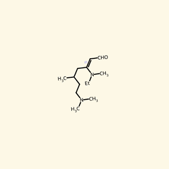 CCN(C)/C(=C\C=O)CC(C)CCN(C)C